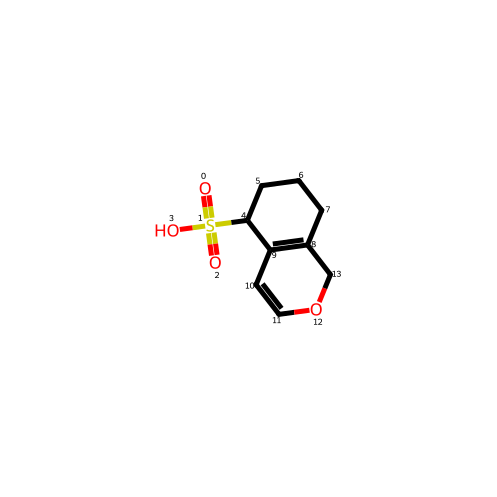 O=S(=O)(O)C1CCCC2=C1C=COC2